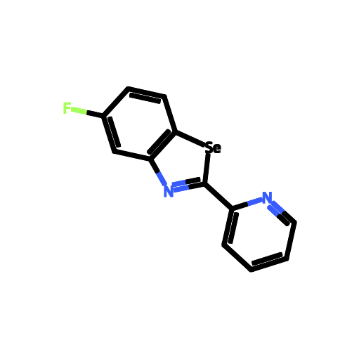 Fc1ccc2[se]c(-c3ccccn3)nc2c1